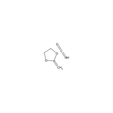 C=C1OCCO1.N=C=O